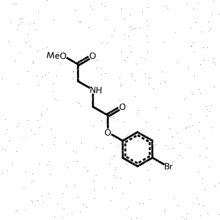 COC(=O)CNCC(=O)Oc1ccc(Br)cc1